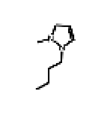 CCCCN1C=CCN1C